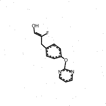 O/C=C(\F)Cc1ccc(Oc2ncccn2)cc1